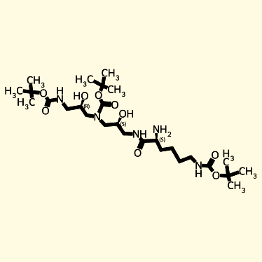 CC(C)(C)OC(=O)NCCCC[C@H](N)C(=O)NC[C@H](O)CN(C[C@H](O)CNC(=O)OC(C)(C)C)C(=O)OC(C)(C)C